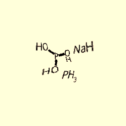 OP(O)O.P.[NaH]